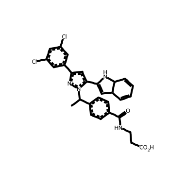 CC(c1ccc(C(=O)NCCC(=O)O)cc1)n1nc(-c2cc(Cl)cc(Cl)c2)cc1C1=CC2C=CC=CC2N1